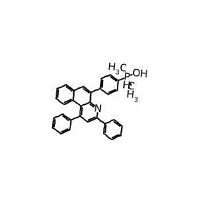 C[PH](C)(O)c1ccc(-c2cc3ccccc3c3c(-c4ccccc4)cc(-c4ccccc4)nc23)cc1